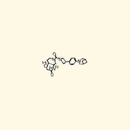 O=C1CO[C@H]2CCN(C(=O)N3CC(c4ccc(N5CC6CC(C6)C5)cc4)C3)C[C@H]2N1